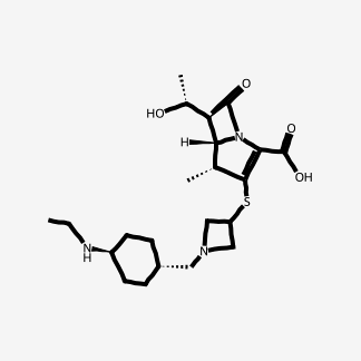 CCN[C@H]1CC[C@H](CN2CC(SC3=C(C(=O)O)N4C(=O)[C@H]([C@@H](C)O)[C@H]4[C@H]3C)C2)CC1